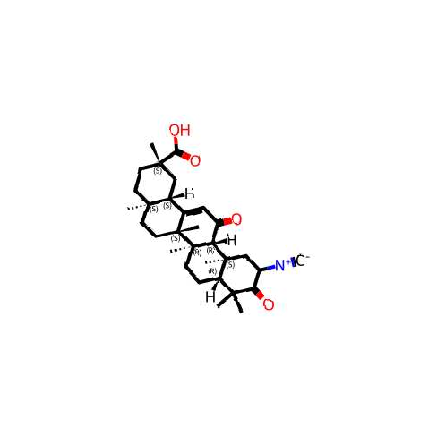 [C-]#[N+]C1C[C@]2(C)[C@H]3C(=O)C=C4[C@H]5C[C@@](C)(C(=O)O)CC[C@]5(C)CC[C@@]4(C)[C@]3(C)CC[C@H]2C(C)(C)C1=O